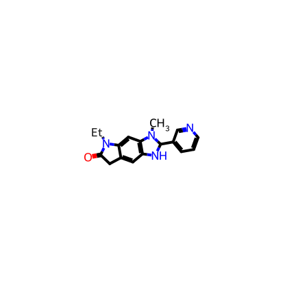 CCN1C(=O)Cc2cc3c(cc21)N(C)C(c1cccnc1)N3